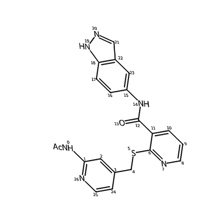 CC(=O)Nc1cc(CSc2ncccc2C(=O)Nc2ccc3[nH]ncc3c2)ccn1